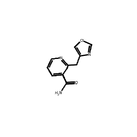 NC(=O)c1cccnc1Cc1cocn1